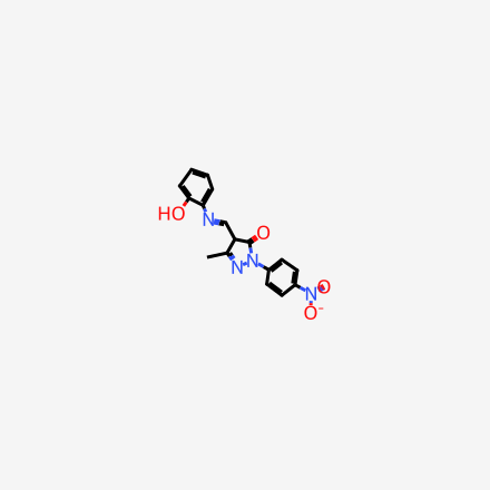 CC1=NN(c2ccc([N+](=O)[O-])cc2)C(=O)C1/C=N/c1ccccc1O